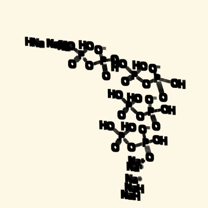 O=P([O-])(O)OP(=O)(O)O.O=P([O-])(O)OP(=O)(O)O.O=P([O-])(O)OP(=O)(O)O.O=P([O-])(O)OP(=O)(O)O.[Na+].[Na+].[Na+].[Na+].[NaH].[NaH].[NaH].[NaH]